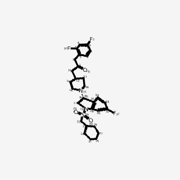 O=C(Cc1ccc(F)cc1F)CC1CCN([C@H]2CN(S(=O)(=O)CC3CCCCC3)c3cc(F)ccc32)CC1